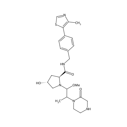 COC(C(C)N1CCNCC1=O)N1C[C@H](O)C[C@H]1C(=O)NCc1ccc(-c2scnc2C)cc1